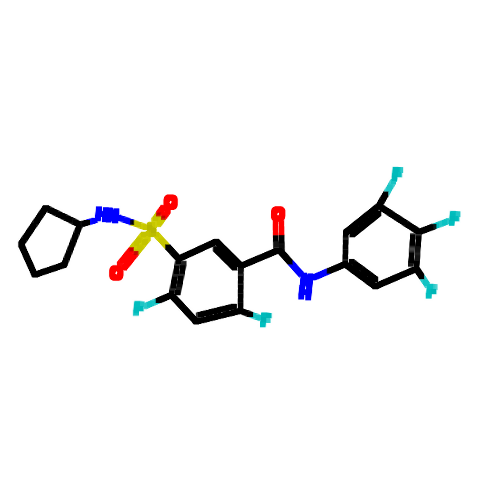 O=C(Nc1cc(F)c(F)c(F)c1)c1cc(S(=O)(=O)NC2CCCC2)c(F)cc1F